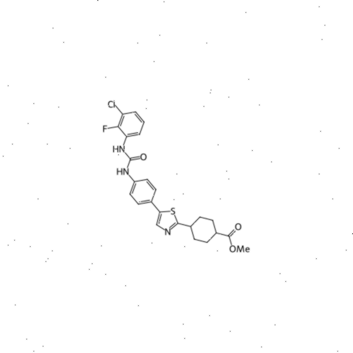 COC(=O)C1CCC(c2ncc(-c3ccc(NC(=O)Nc4cccc(Cl)c4F)cc3)s2)CC1